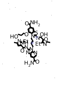 CCc1nc(C)oc1C(O)/N=c1\sc2cc(C(N)=O)cc(OCCCO)c2n1C/C=C/Cn1c(NC(=O)c2cc(C)nn2CC)nc2cc(C(N)=O)cnc21